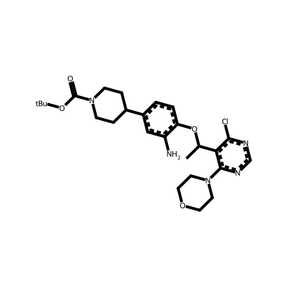 CC(Oc1ccc(C2CCN(C(=O)OC(C)(C)C)CC2)cc1N)c1c(Cl)ncnc1N1CCOCC1